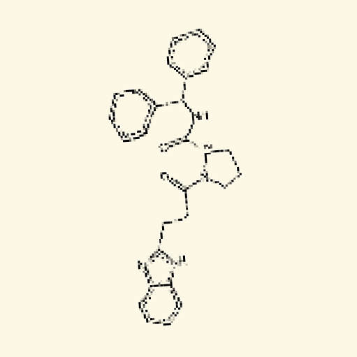 O=C(NC(c1ccccc1)c1ccccc1)[C@@H]1CCCN1C(=O)CCc1nc2ccccc2[nH]1